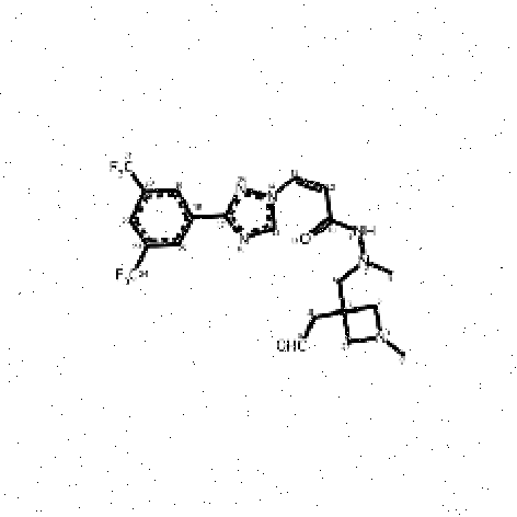 CN1CC(CC=O)(CN(C)NC(=O)/C=C\n2cnc(-c3cc(C(F)(F)F)cc(C(F)(F)F)c3)n2)C1